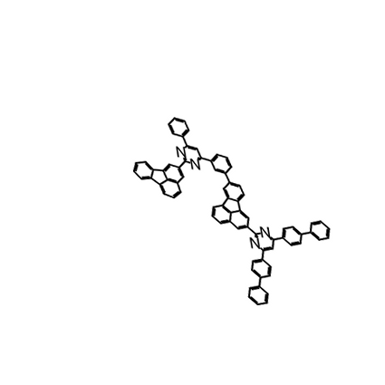 c1ccc(-c2ccc(-c3cc(-c4ccc(-c5ccccc5)cc4)nc(-c4cc5c6c(cccc6c4)-c4cc(-c6cccc(-c7cc(-c8ccccc8)nc(-c8cc9c%10c(cccc%10c8)-c8ccccc8-9)n7)c6)ccc4-5)n3)cc2)cc1